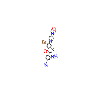 CNc1cc(C#N)ccc1C1=CC(C)(C)c2cc(N3CCC(N4CCOCC4)CC3)c(Br)cc2C1=O